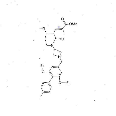 C=NC1=C(/C=C(\C)C(=O)OC)C(=O)N(C2CN(Cc3cc(OCC)c(-c4ccc(F)cc4)c(OCC)c3)C2)CC1